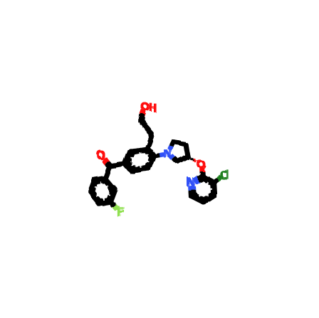 O=C(c1cccc(F)c1)c1ccc(N2CC[C@H](Oc3ncccc3Cl)C2)c(CCO)c1